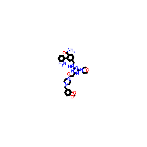 NC(=O)c1ccc(CNc2nc(CC(=O)N3CCN(Cc4ccc5c(c4)OCO5)CC3)nc(N3CCOCC3)n2)cc1-c1ccccc1N